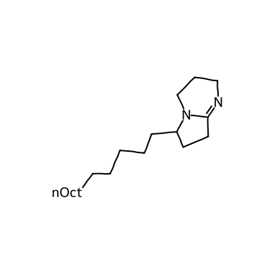 CCCCCCCCCCCCCC1CCC2=NCCCN21